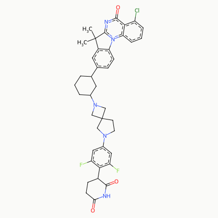 CC1(C)c2cc(C3CCCC(N4CC5(CCN(c6cc(F)c(C7CCC(=O)NC7=O)c(F)c6)C5)C4)C3)ccc2-n2c1nc(=O)c1c(Cl)cccc12